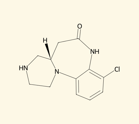 O=C1C[C@H]2CNCCN2c2cccc(Cl)c2N1